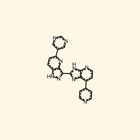 c1cc(-c2ccnc3[nH]c(-c4n[nH]c5ccc(-c6cncnc6)nc45)nc23)ccn1